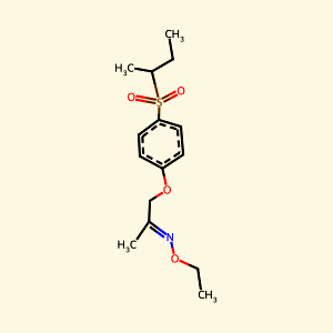 CCON=C(C)COc1ccc(S(=O)(=O)C(C)CC)cc1